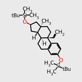 C=C[C@]12CC[C@]3(C)C[C@H](O[Si](C)(C)C(C)(C)C)C[C@H]3[C@@H]1CCc1cc(O[Si](C)(C)C(C)(C)C)ccc12